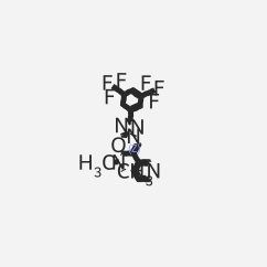 CN(C)C(=O)/C(=C\n1cnc(C2=CC(C(F)(F)F)=CC(C(F)(F)F)C2)n1)c1cccnc1